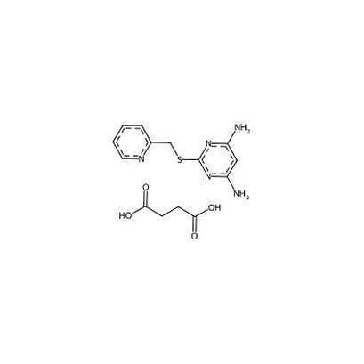 Nc1cc(N)nc(SCc2ccccn2)n1.O=C(O)CCC(=O)O